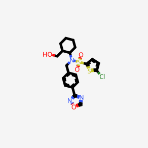 O=S(=O)(c1ccc(Cl)s1)N(Cc1ccc(-c2ncon2)cc1)C1CCCCC1CO